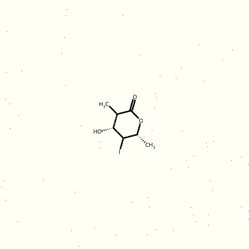 CC1C(=O)O[C@H](C)C(I)[C@@H]1O